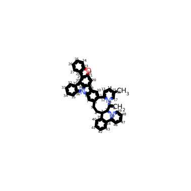 C=C1C2C(CCc3cc4c(cc3-c3ccc(C)c[n+]31)c1cc3oc5ccccc5c3c3c5ccccc5n4c13)c1ccccc1-c1cccc[n+]12